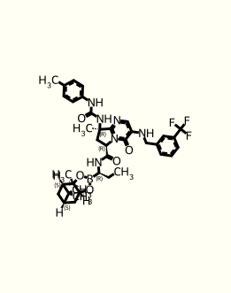 CC[C@H](NC(=O)[C@H]1C[C@@](C)(NC(=O)Nc2ccc(C)cc2)c2ncc(NCc3cccc(C(F)(F)F)c3)c(=O)n21)B1O[C@@H]2C[C@@H]3C[C@@H](C3(C)C)[C@]2(C)O1